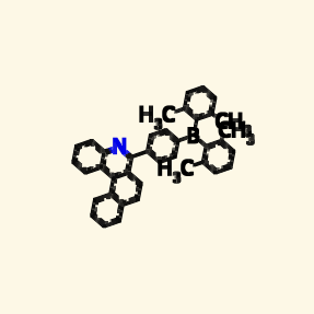 Cc1cccc(C)c1B(c1ccc(-c2nc3ccccc3c3c2ccc2ccccc23)cc1)c1c(C)cccc1C